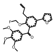 C=CCc1cc(-c2ccco2)cc(C(=O)c2cc(OC)c(OC)c(OC)c2)c1OCF